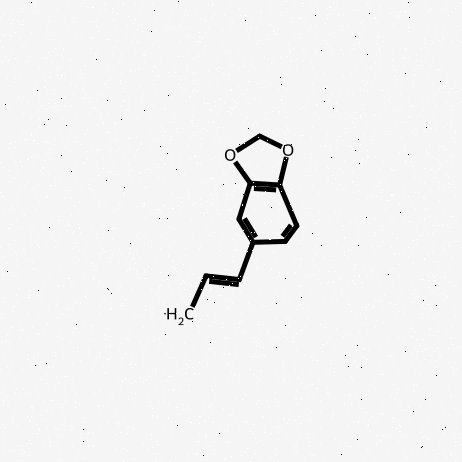 [CH2]C=Cc1ccc2c(c1)OCO2